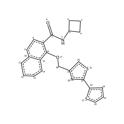 O=C(NC1CCC1)c1ccc2ccccc2c1OCc1csc(-c2cccs2)n1